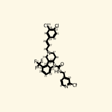 O=C(NCc1ccnc(Cl)c1)n1c2c(c3c(C(F)(F)F)cccc31)CN(CC=Cc1ccc(Cl)c(Cl)c1)CC2